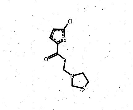 O=C(CCN1CCSC1)c1ccc(Cl)s1